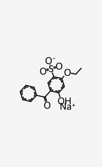 CCOc1cc(O)c(C(=O)c2ccccc2)cc1S(=O)(=O)[O-].[Na+]